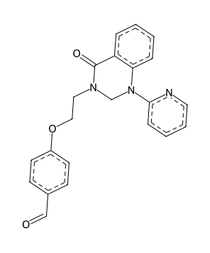 O=Cc1ccc(OCCN2CN(c3ccccn3)c3ccccc3C2=O)cc1